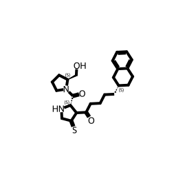 O=C(CCCC[C@H]1CCc2ccccc2C1)C1C(=S)CN[C@@H]1C(=O)N1CCC[C@H]1CO